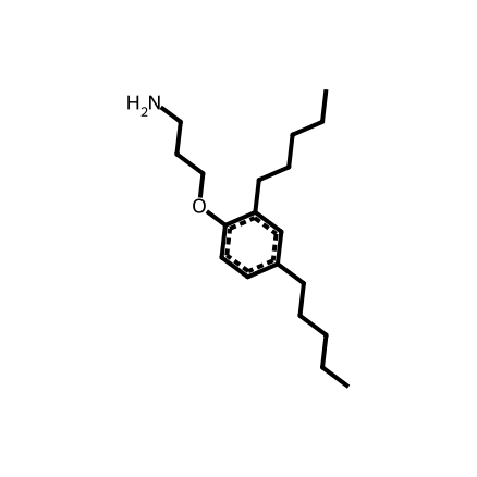 CCCCCc1ccc(OCCCN)c(CCCCC)c1